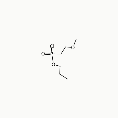 CCCOP(=O)(Cl)CCOC